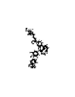 Cc1cc(Nc2ncnn3ccc(C4CCN(C(=O)/C=C/CN5CC(F)C5)CC4)c23)ccc1Oc1ccn2ncnc2c1